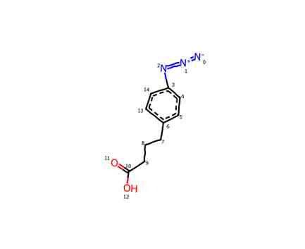 [N-]=[N+]=Nc1ccc(CCCC(=O)O)cc1